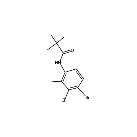 Cc1c(NC(=O)C(C)(C)C)ccc(Br)c1Cl